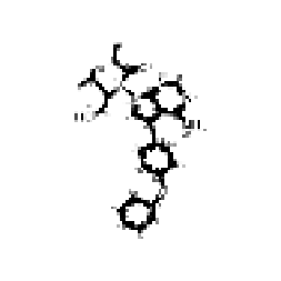 CCC(=O)N(C(CO)C(C)C)n1cc(-c2ccc(Oc3ccccc3)cc2)c2c(N)ncnc21